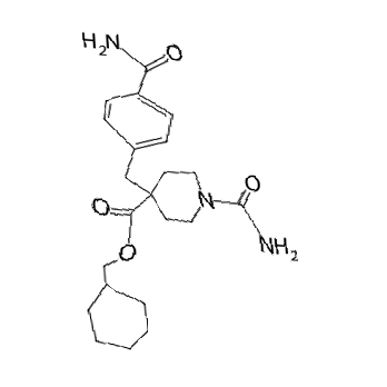 NC(=O)c1ccc(CC2(C(=O)OCC3CCCCC3)CCN(C(N)=O)CC2)cc1